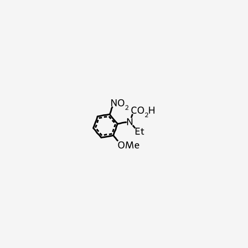 CCN(C(=O)O)c1c(OC)cccc1[N+](=O)[O-]